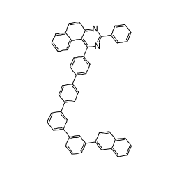 c1ccc(-c2nc(-c3ccc(-c4ccc(-c5cccc(-c6cccc(-c7ccc8ccccc8c7)c6)c5)cc4)cc3)c3c(ccc4ccccc43)n2)cc1